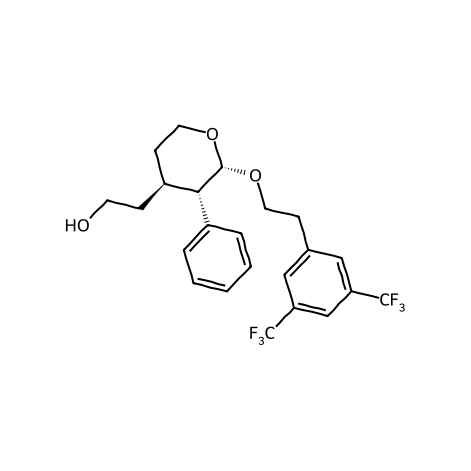 OCC[C@H]1CCO[C@H](OCCc2cc(C(F)(F)F)cc(C(F)(F)F)c2)[C@@H]1c1ccccc1